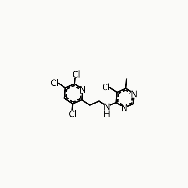 Cc1ncnc(NCCc2nc(Cl)c(Cl)cc2Cl)c1Cl